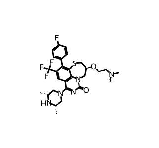 C[C@@H]1CN(c2nc(=O)n3c4c(c(-c5ccc(F)cc5)c(C(F)(F)F)cc24)SC[C@@H](OCCN(C)C)C3)C[C@H](C)N1